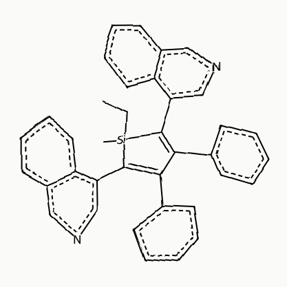 CC[Si]1(C)C(c2cncc3ccccc23)=C(c2ccccc2)C(c2ccccc2)=C1c1cncc2ccccc12